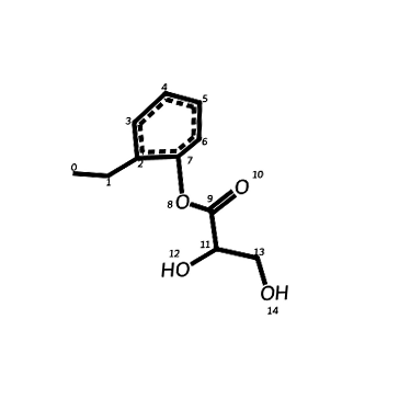 CCc1ccccc1OC(=O)C(O)CO